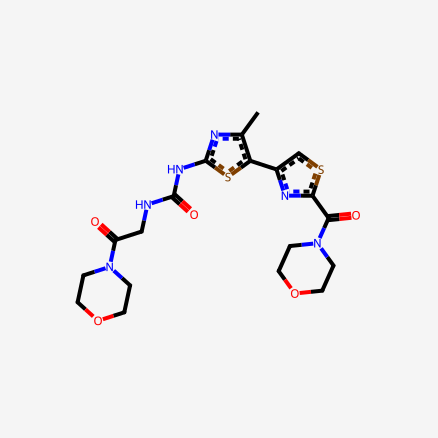 Cc1nc(NC(=O)NCC(=O)N2CCOCC2)sc1-c1csc(C(=O)N2CCOCC2)n1